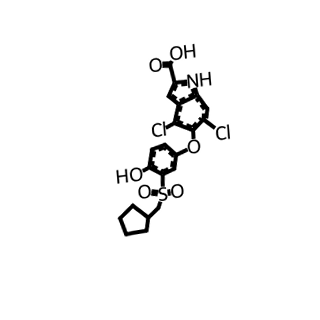 O=C(O)c1cc2c(Cl)c(Oc3ccc(O)c(S(=O)(=O)CC4CCCC4)c3)c(Cl)cc2[nH]1